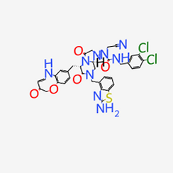 N#CCN(C(=O)NCc1ccc(Cl)c(Cl)c1)N1CC(=O)N2[C@@H](Cc3ccc4c(c3)N/C=C/C(=O)CO4)C(=O)N(Cc3cccc4sc(N)nc34)C[C@@H]21